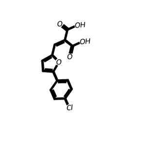 O=C(O)C(=Cc1ccc(-c2ccc(Cl)cc2)o1)C(=O)O